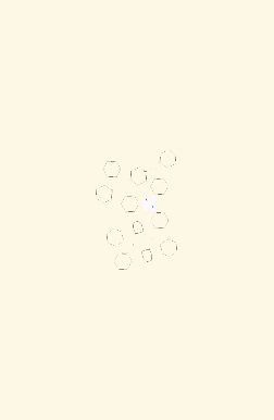 CC1(C)c2ccccc2-c2ccc(N(c3ccc4c(c3)C3(c5ccccc5-4)c4ccccc4C(c4ccccc4)(c4ccccc4)c4ccccc43)c3cccc4c3-c3ccccc3C4(c3ccccc3)c3ccccc3)cc21